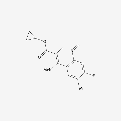 C=Nc1cc(F)c(C(C)C)cc1/C(NC)=C(\C)C(=O)OC1CC1